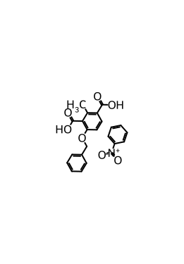 Cc1c(C(=O)O)ccc(OCc2ccccc2)c1C(=O)O.O=[N+]([O-])c1ccccc1